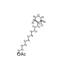 CC(=O)OCCCCCCCCCCCCC1=C(C)CCCC1(C)C